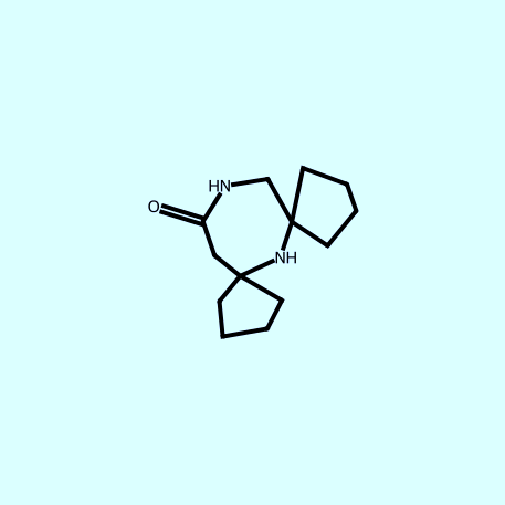 O=C1CC2(CCCC2)NC2(CCCC2)CN1